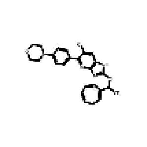 FC(F)(F)C(Oc1nc2nc(-c3ccc(N4CCOCC4)cc3)c(Cl)cc2[nH]1)C1=CCC=CC=C1